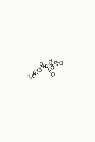 CN1CCc2cc(C(=O)N3CC(NC(=O)c4ccc(Cl)s4)C(OCc4ccccc4)C3)ccc2C1